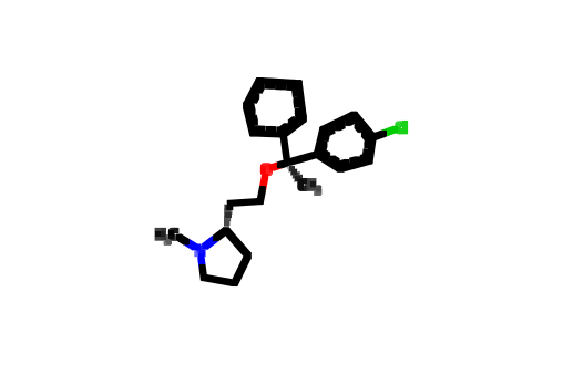 CN1CCC[C@H]1CCO[C@@](C)(c1ccccc1)c1ccc(Cl)cc1